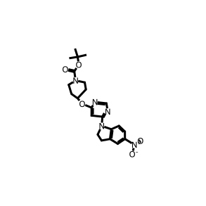 CC(C)(C)OC(=O)N1CCC(Oc2cc(N3CCc4cc([N+](=O)[O-])ccc43)ncn2)CC1